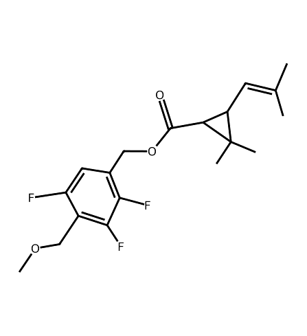 COCc1c(F)cc(COC(=O)C2C(C=C(C)C)C2(C)C)c(F)c1F